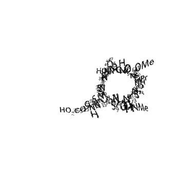 CNC(=O)C[C@@H]1NC(=O)c2csc(n2)-c2ccc(-c3nc(NC(=O)COCC(=O)O)cs3)nc2-c2csc(n2)-c2csc(n2)[C@H]([C@@H](O)c2ccccc2)NC(=O)CNC(=O)c2nc(sc2COC)[C@@H](C(C)C)NC(=O)c2nc1sc2C